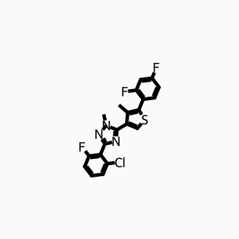 Cc1c(-c2nc(-c3c(F)cccc3Cl)nn2C)csc1-c1ccc(F)cc1F